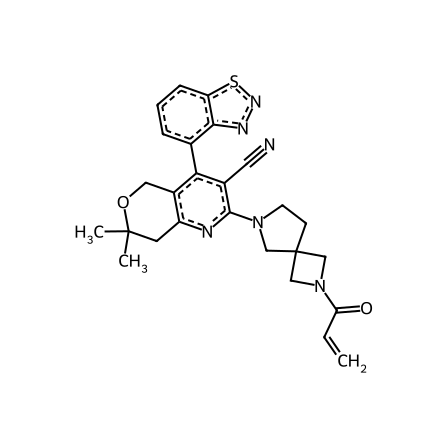 C=CC(=O)N1CC2(CCN(c3nc4c(c(-c5cccc6snnc56)c3C#N)COC(C)(C)C4)C2)C1